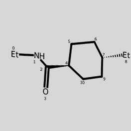 CCNC(=O)[C@H]1CC[C@H](CC)CC1